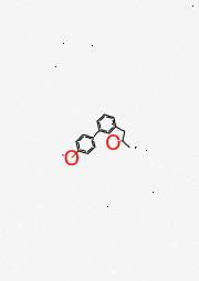 [CH2]C1Cc2cccc(-c3ccc(OC)cc3)c2O1